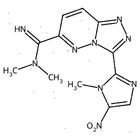 CN(C)C(=N)c1ccc2nnc(-c3ncc([N+](=O)[O-])n3C)n2n1